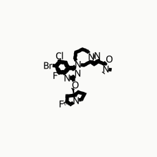 CN(C)C(=O)c1cc2n(n1)CCCCN(c1nc(OC[C@@]34CCCN3C[C@H](F)C4)nc3c(F)c(Br)c(Cl)cc13)C2